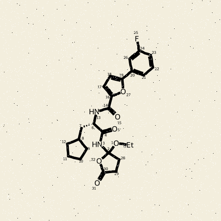 CCOC1(NC(=O)[C@H](CC2CCCC2)NC(=O)c2ccc(-c3cccc(F)c3)o2)CCC(=O)O1